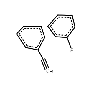 C#Cc1ccccc1.Fc1ccccc1